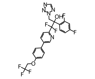 OC(Cn1ncnn1)(c1ccc(F)cc1F)C(F)(F)c1ccc(-c2ccc(OCC(F)(F)F)cc2)cn1